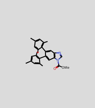 COC(=O)n1cnc2cc(-c3c(C)cc(C)cc3C)c(-c3c(C)cc(C)cc3C)cc21